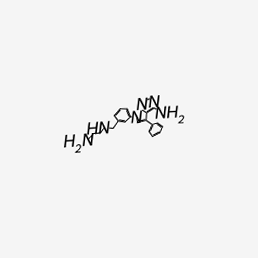 NCCNCc1cccc(-n2cc(-c3ccccc3)c3c(N)ncnc32)c1